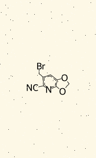 N#Cc1nc2c(cc1CBr)OCO2